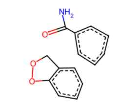 NC(=O)c1ccccc1.c1ccc2c(c1)COO2